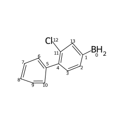 Bc1ccc(-c2ccccc2)c(Cl)c1